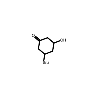 CC(C)(C)C1CC(=O)CC(O)C1